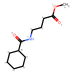 COC(=O)CCCNC(=O)C1CCCCC1